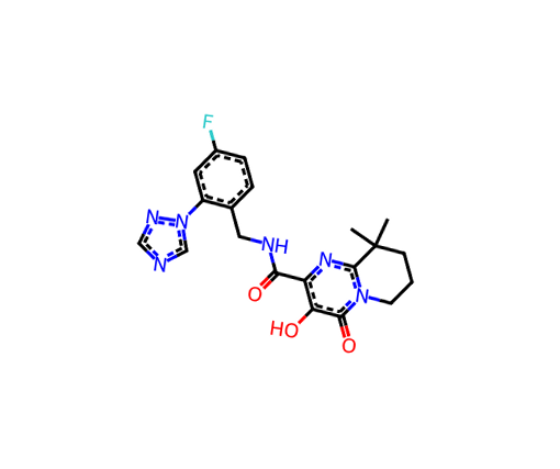 CC1(C)CCCn2c1nc(C(=O)NCc1ccc(F)cc1-n1cncn1)c(O)c2=O